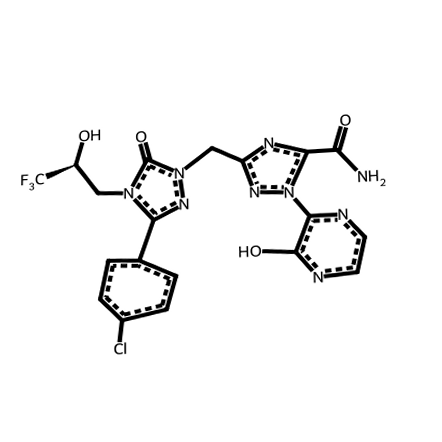 NC(=O)c1nc(Cn2nc(-c3ccc(Cl)cc3)n(C[C@H](O)C(F)(F)F)c2=O)nn1-c1nccnc1O